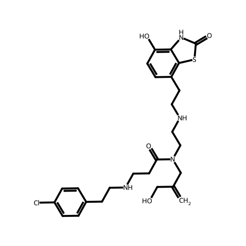 C=C(CO)CN(CCNCCc1ccc(O)c2[nH]c(=O)sc12)C(=O)CCNCCc1ccc(Cl)cc1